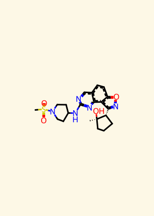 C[C@@]1(O)CCC[C@H]1c1noc2ccc3cnc(NC4CCN(S(C)(=O)=O)CC4)nc3c12